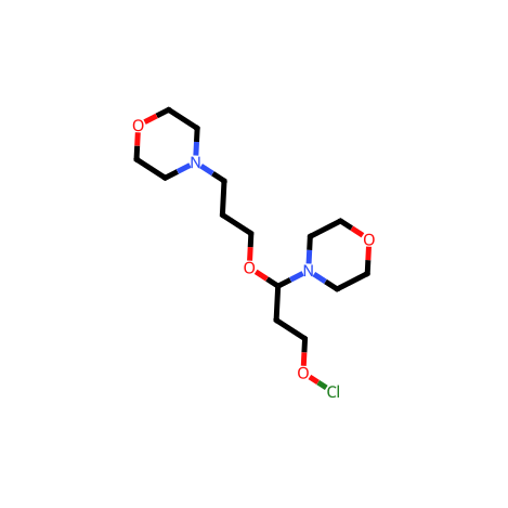 ClOCCC(OCCCN1CCOCC1)N1CCOCC1